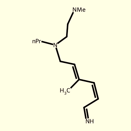 CCCN(C/C=C(C)/C=C\C=N)CCNC